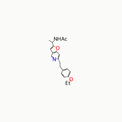 CCOc1ccc(CCc2cc3oc(C(C)NC(C)=O)cc3cn2)cc1